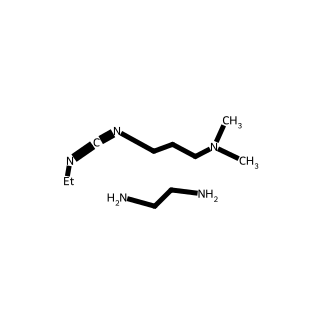 CCN=C=NCCCN(C)C.NCCN